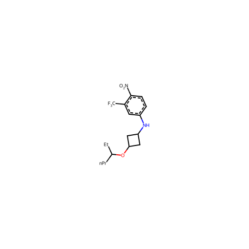 CCCC(CC)OC1CC(Nc2ccc([N+](=O)[O-])c(C(F)(F)F)c2)C1